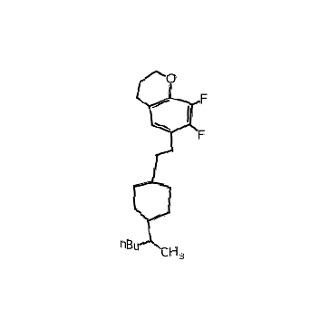 CCCCC(C)C1CCC(CCc2cc3c(c(F)c2F)OCCC3)CC1